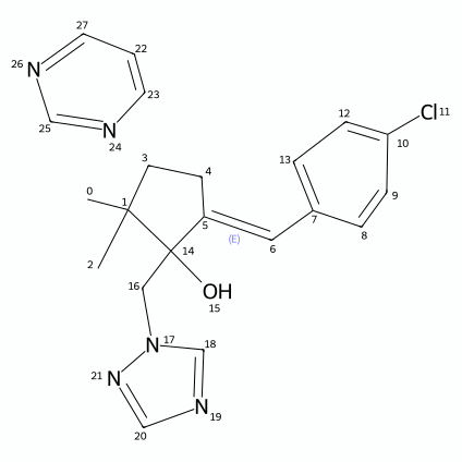 CC1(C)CC/C(=C\c2ccc(Cl)cc2)C1(O)Cn1cncn1.c1cncnc1